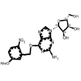 COc1ccc([N+](=O)[O-])c(COc2nc(N)nc3c2ncn3[C@@H]2O[C@H](CO)[C@@H](O)[C@H]2O)c1